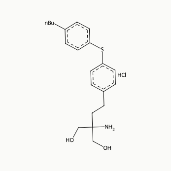 CCCCc1ccc(Sc2ccc(CCC(N)(CO)CO)cc2)cc1.Cl